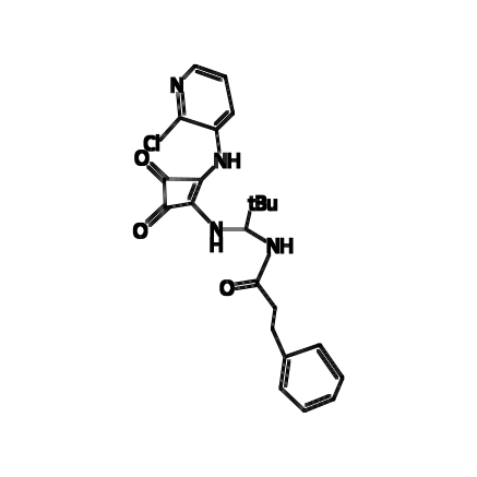 CC(C)(C)C(NC(=O)CCc1ccccc1)Nc1c(Nc2cccnc2Cl)c(=O)c1=O